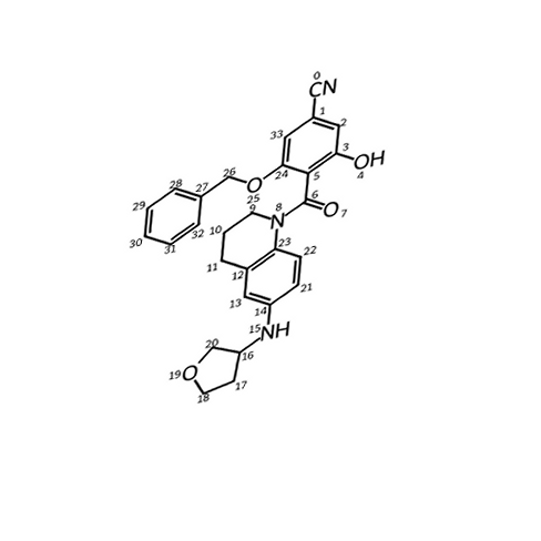 N#Cc1cc(O)c(C(=O)N2CCCc3cc(NC4CCOC4)ccc32)c(OCc2ccccc2)c1